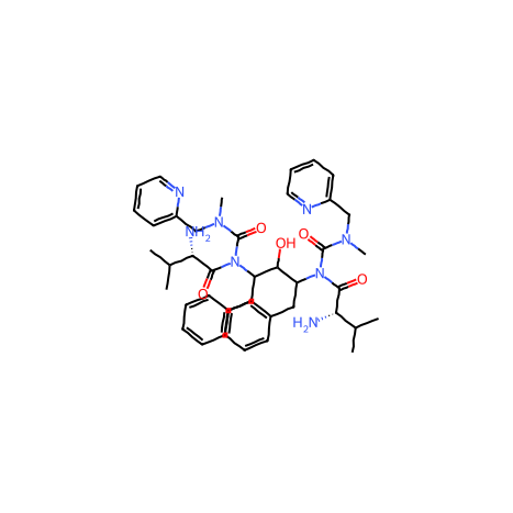 CC(C)[C@H](N)C(=O)N(C(=O)N(C)Cc1ccccn1)C(Cc1ccccc1)C(O)C(Cc1ccccc1)N(C(=O)[C@@H](N)C(C)C)C(=O)N(C)Cc1ccccn1